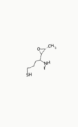 C[C@H]1OC1C(CCCS)NI